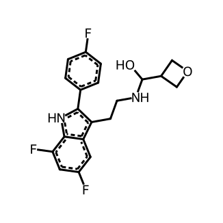 OC(NCCc1c(-c2ccc(F)cc2)[nH]c2c(F)cc(F)cc12)C1COC1